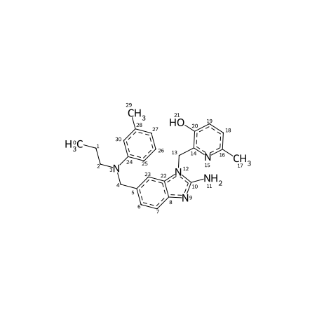 CCCN(Cc1ccc2nc(N)n(Cc3nc(C)ccc3O)c2c1)c1cccc(C)c1